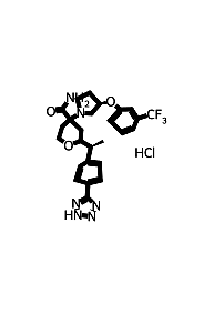 C[C@@H](c1ccc(-c2nn[nH]n2)cc1)C1CC(C(N)=O)(N2CC[C@@H](Oc3cccc(C(F)(F)F)c3)C2)CCO1.Cl